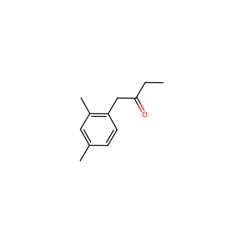 CCC(=O)Cc1ccc(C)cc1C